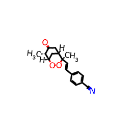 C[C@@H]1C(=O)C[C@H]2C[C@@H]1OO[C@@]2(C)C=Cc1ccc(C#N)cc1